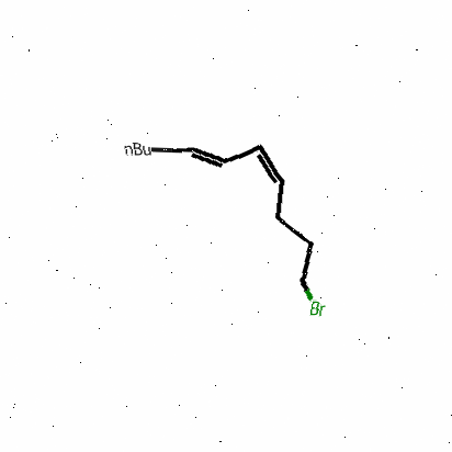 CCCC/C=C/C=C\CCCBr